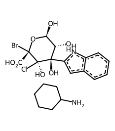 NC1CCCCC1.O=C(O)[C@@]1(Br)O[C@@H](O)[C@H](O)[C@](O)(c2cc3ccccc3[nH]2)[C@@]1(O)Cl